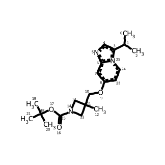 CC(C)c1cnc2cc(OCC3(C)CN(C(=O)OC(C)(C)C)C3)ccn12